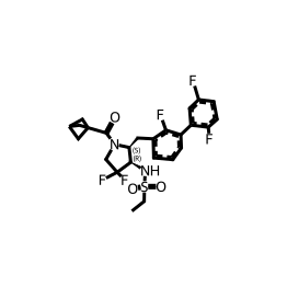 CCS(=O)(=O)N[C@@H]1[C@H](Cc2cccc(-c3cc(F)ccc3F)c2F)N(C(=O)C23CC(C2)C3)CC1(F)F